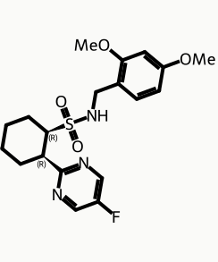 COc1ccc(CNS(=O)(=O)[C@@H]2CCCC[C@@H]2c2ncc(F)cn2)c(OC)c1